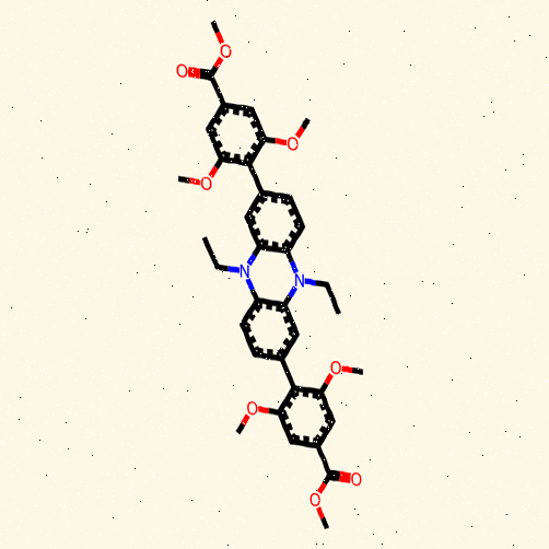 CCN1c2ccc(-c3c(OC)cc(C(=O)OC)cc3OC)cc2N(CC)c2ccc(-c3c(OC)cc(C(=O)OC)cc3OC)cc21